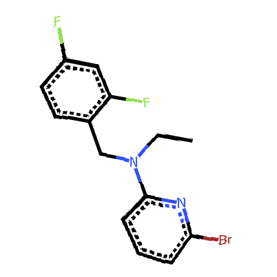 CCN(Cc1ccc(F)cc1F)c1cccc(Br)n1